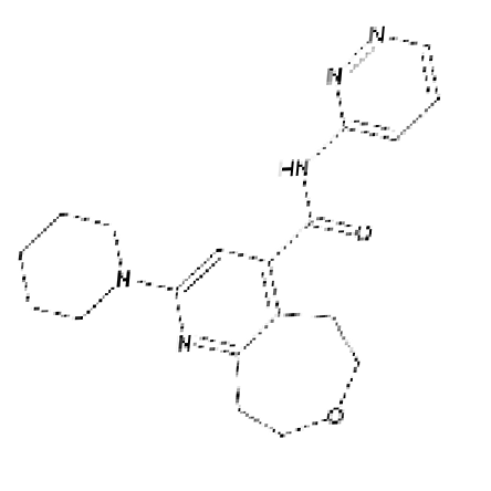 O=C(Nc1cccnn1)c1cc(N2CCCCC2)nc2c1CCOCC2